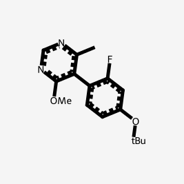 COc1ncnc(C)c1-c1ccc(OC(C)(C)C)cc1F